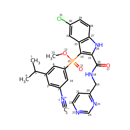 [C-]#[N+]c1cc(C(C)C)cc(P(=O)(OC)c2c(C(=O)NCc3ccncn3)[nH]c3ccc(Cl)cc23)c1